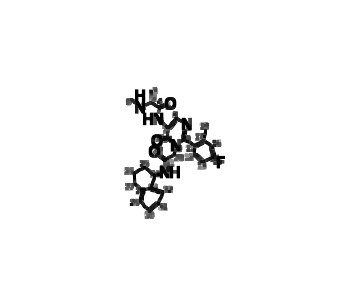 CN[C@@H](C)C(=O)Nc1cnc(-c2ccc(F)cc2C)n(CC(=O)N[C@@H]2CCCc3ccccc32)c1=O